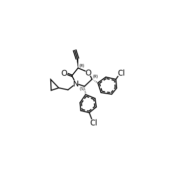 C#C[C@H]1O[C@H](c2cccc(Cl)c2)[C@H](c2ccc(Cl)cc2)N(CC2CC2)C1=O